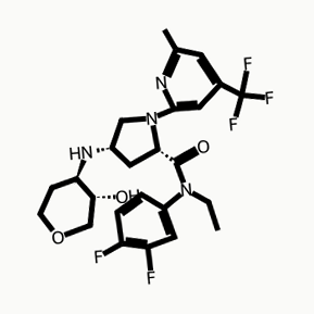 CCN(C(=O)[C@@H]1C[C@H](N[C@@H]2CCOC[C@H]2O)CN1c1cc(C(F)(F)F)cc(C)n1)c1ccc(F)c(F)c1